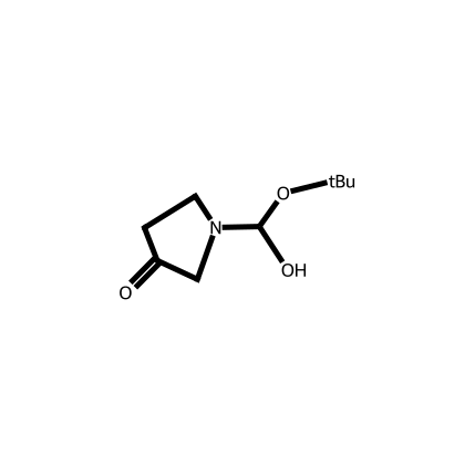 CC(C)(C)OC(O)N1CCC(=O)C1